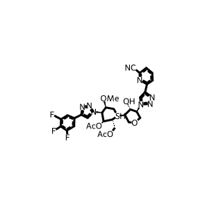 CO[C@H]1C[SH]([C@@H]2COC[C@H](n3cc(-c4cccc(C#N)n4)nn3)[C@H]2O)[C@H](COC(C)=O)[C@H](OC(C)=O)[C@H]1n1cc(-c2cc(F)c(F)c(F)c2)nn1